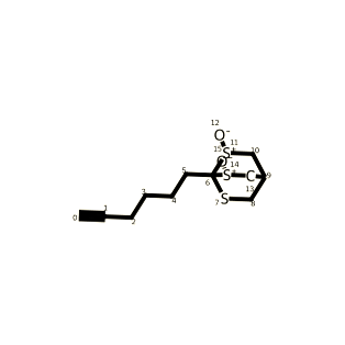 C#CCCCCC12SCC(C[S+]1[O-])C[S+]2[O-]